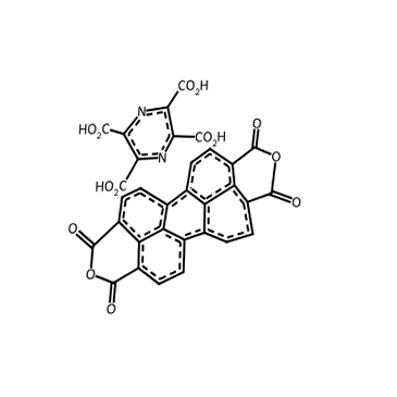 O=C(O)c1nc(C(=O)O)c(C(=O)O)nc1C(=O)O.O=C1OC(=O)c2ccc3c4ccc5c6c(ccc(c7ccc1c2c73)c64)C(=O)OC5=O